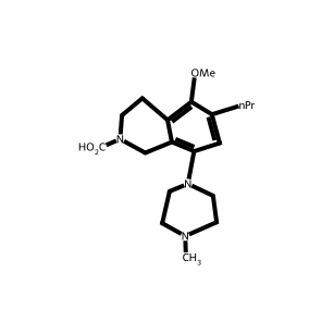 CCCc1cc(N2CCN(C)CC2)c2c(c1OC)CCN(C(=O)O)C2